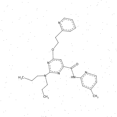 CCCN(CCC)c1nc(OCCc2ccccn2)cc(C(=O)Nc2cc(C)ccn2)n1